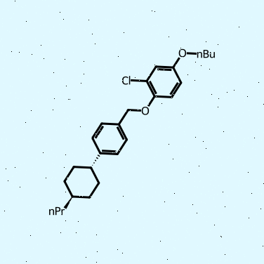 CCCCOc1ccc(OCc2ccc([C@H]3CC[C@H](CCC)CC3)cc2)c(Cl)c1